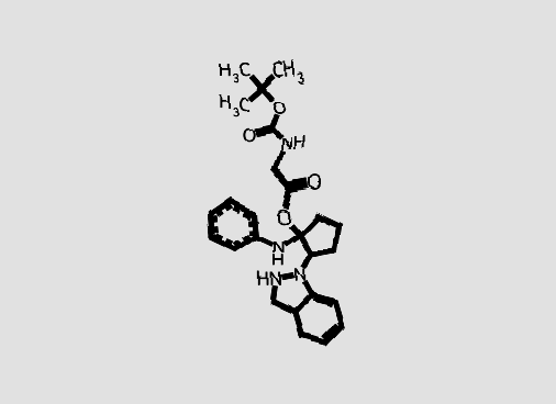 CC(C)(C)OC(=O)NCC(=O)OC1(Nc2ccccc2)CCCC1N1NCC2CC=CC=C21